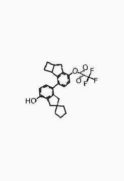 O=S(=O)(Oc1ccc(-c2ccc(O)c3c2CC2(CCCC2)C3)c2c1CC1CCC21)C(F)(F)F